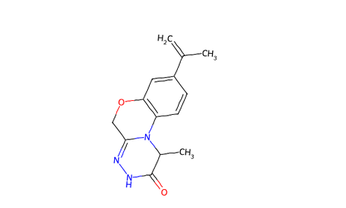 C=C(C)c1ccc2c(c1)OCC1=NNC(=O)C(C)N12